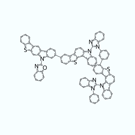 c1ccc(-n2c(-n3c4ccccc4c4ccc5sc6c(-c7cccc(-n8c(-n9c%10ccccc%10c%10c%11sc%12ccc(-c%13ccc%14c%15cc%16c(cc%15n(-c%15nc%17ccccc%17o%15)c%14c%13)sc%13ccccc%13%16)cc%12c%11ccc%109)nc9ccccc98)c7)cccc6c5c43)nc3ccccc32)cc1